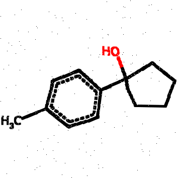 Cc1ccc(C2(O)CCCC2)cc1